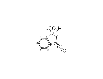 O=C=C1CC(C(=O)O)c2ccccc21